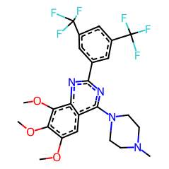 COc1cc2c(N3CCN(C)CC3)nc(-c3cc(C(F)(F)F)cc(C(F)(F)F)c3)nc2c(OC)c1OC